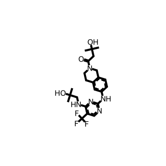 CC(C)(O)CNc1nc(Nc2ccc3c(c2)CCN(C(=O)CC(C)(C)O)C3)ncc1C(F)(F)F